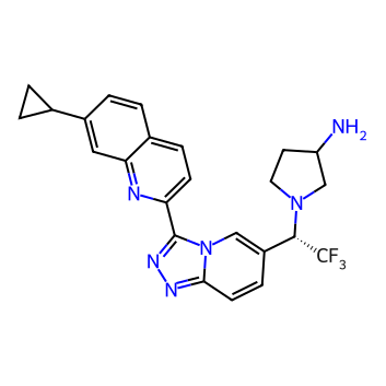 NC1CCN([C@@H](c2ccc3nnc(-c4ccc5ccc(C6CC6)cc5n4)n3c2)C(F)(F)F)C1